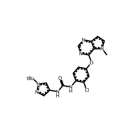 Cn1ccc2ncnc(Oc3ccc(NC(=O)Nc4cnn(C(C)(C)C)c4)c(Cl)c3)c21